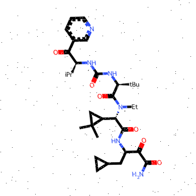 CCN(C(=O)[C@@H](NC(=O)N[C@H](C(=O)c1cccnc1)C(C)C)C(C)(C)C)[C@H](C(=O)NC(CC1CC1)C(=O)C(N)=O)C1CC1(C)C